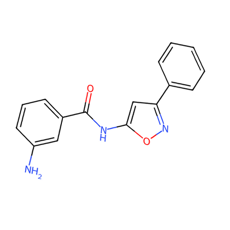 Nc1cccc(C(=O)Nc2cc(-c3ccccc3)no2)c1